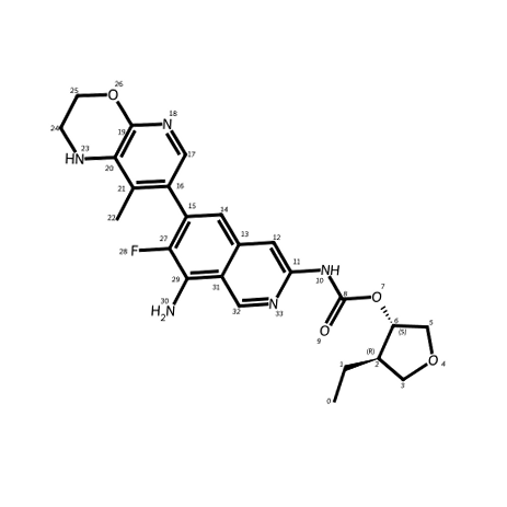 CC[C@@H]1COC[C@H]1OC(=O)Nc1cc2cc(-c3cnc4c(c3C)NCCO4)c(F)c(N)c2cn1